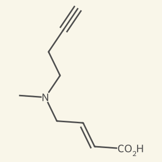 C#CCCN(C)CC=CC(=O)O